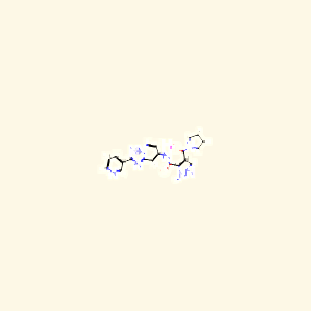 Cn1ncc(C(=O)N2CCCC2)c1C(=O)Nc1ccn2nc(-c3cccnc3)nc2c1